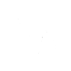 CC(C)(O)CCOc1cc(Br)c2c(c1)C(=O)c1ccccc1-2